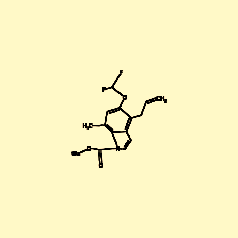 C=CCc1c(OC(F)F)cc(C)c2c1ccn2C(=O)OC(C)(C)C